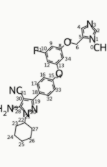 Cn1cncc1COc1cc(F)cc(Oc2ccc(-c3nn(C4CCCCC4)c(N)c3C#N)cc2)c1